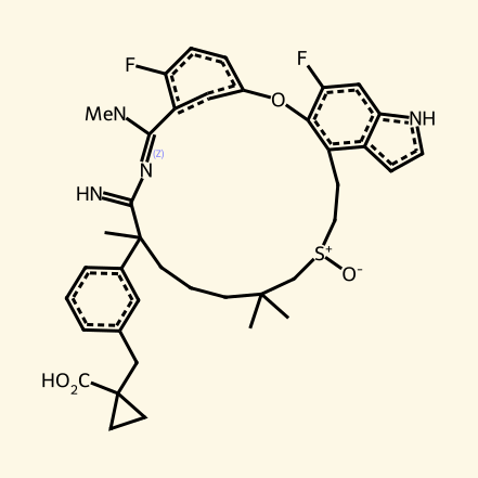 CN/C1=N\C(=N)C(C)(c2cccc(CC3(C(=O)O)CC3)c2)CCCC(C)(C)C[S+]([O-])CCc2c(c(F)cc3[nH]ccc23)Oc2ccc(F)c1c2